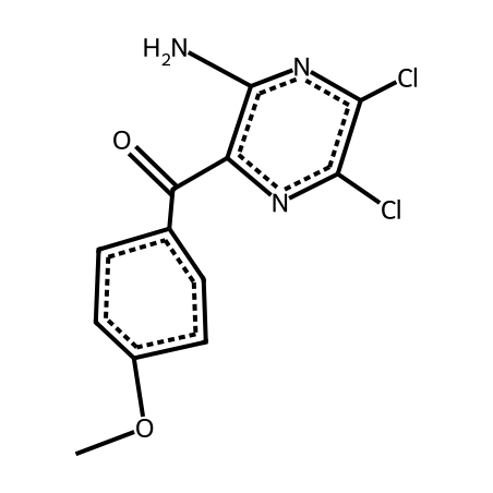 COc1ccc(C(=O)c2nc(Cl)c(Cl)nc2N)cc1